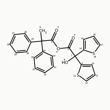 CC(C(=O)OC(=O)C(O)(c1cccs1)c1cccs1)(c1ccccc1)c1ccccc1